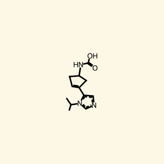 CC(C)n1cncc1C1=CCC(NC(=O)O)C1